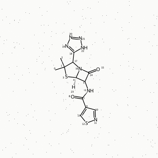 CC1(C)S[C@@H]2C(NC(=O)c3cnsc3)C(=O)N2C1c1nnn[nH]1